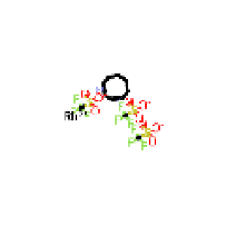 C1=C\CCCC\C=C/1.O=S(=O)([O-])C(F)(F)F.O=S(=O)([O-])C(F)(F)F.O=S(=O)([O-])C(F)(F)F.[Rh+3]